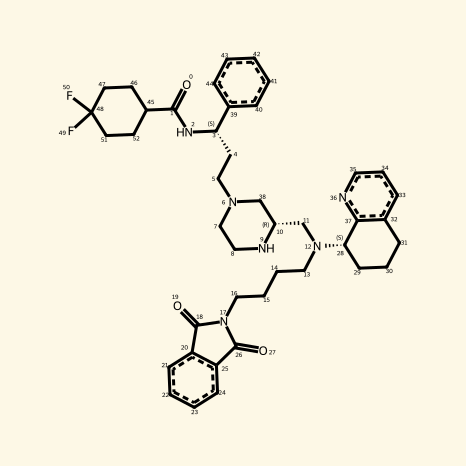 O=C(N[C@@H](CCN1CCN[C@@H](CN(CCCCN2C(=O)c3ccccc3C2=O)[C@H]2CCCc3cccnc32)C1)c1ccccc1)C1CCC(F)(F)CC1